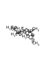 CCO[C@@H]1CC[C@]2(C)C3CC[C@@]4(C)C(CC[C@@H]4[C@H](C)CCC(=O)N(C)CCC(=O)OC)[C@@H]3[C@H](OCC)C[C@@H]2C1